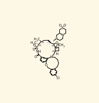 CO[C@]1(CN2CCN3CCS(=O)(=O)CC3C2)/C=C/C[C@H](C)[C@@H](C)S(=O)(=O)NC(=O)c2ccc3c(c2)N(CCCCc2cc(Cl)ccc2CO3)C[C@@H]2CC[C@H]21